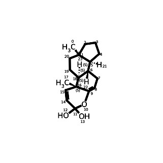 C[C@@]12CCC[C@H]1[C@@H]1CC=C3OC(O)(O)C=C[C@]3(C)[C@H]1CC2